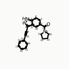 O=C(c1ccc2[nH]nc(C#Cc3ccccc3)c2c1)N1CCCC1